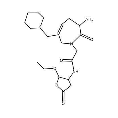 CCOC1OC(=O)CC1NC(=O)CN1CC(CN2CCCCC2)=CCC(N)C1=O